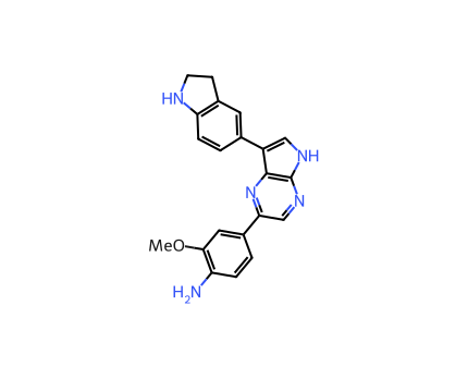 COc1cc(-c2cnc3[nH]cc(-c4ccc5c(c4)CCN5)c3n2)ccc1N